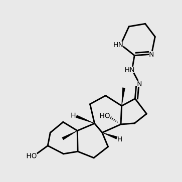 C[C@]12CCC(O)CC1CC[C@@H]1[C@H]2CC[C@]2(C)/C(=N\NC3=NCCCN3)CC[C@@]12O